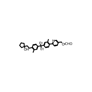 CCC(CC)(c1ccc(CCC2(O)CCCC2)c(C)c1)c1ccc(-c2ccc(COC=O)cn2)c(C)c1